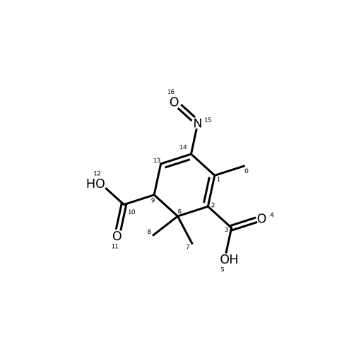 CC1=C(C(=O)O)C(C)(C)C(C(=O)O)C=C1N=O